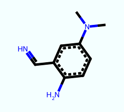 CN(C)c1ccc(N)c(C=N)c1